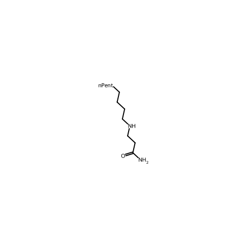 CCCCCCCCCNCCC(N)=O